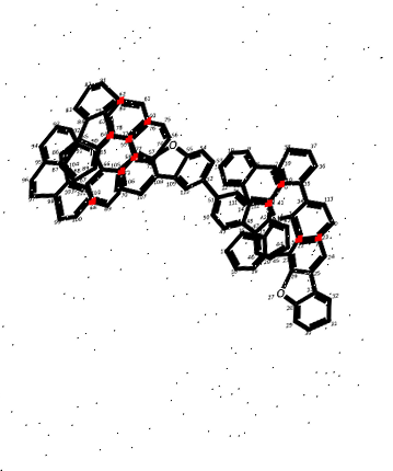 c1ccc(N(c2ccc3ccccc3c2)c2ccccc2-c2cccc3c2oc2ccccc23)c(-c2ccccc2-n2c3ccccc3c3ccc(-c4ccc5oc6c(-c7ccccc7N(c7ccccc7-c7ccccc7-n7c8ccccc8c8ccccc87)c7cccc8ccc9ccccc9c78)cccc6c5c4)cc32)c1